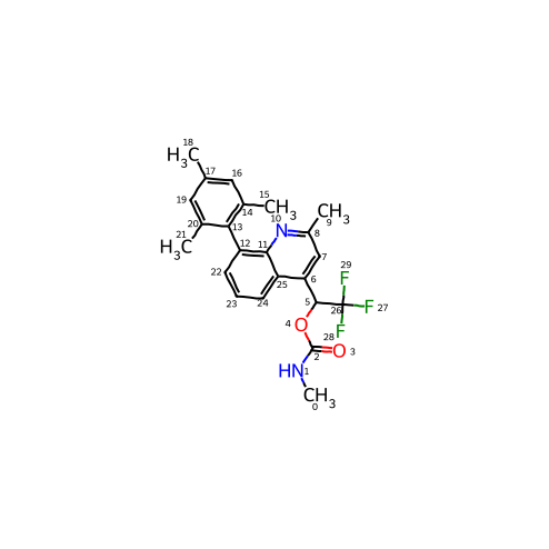 CNC(=O)OC(c1cc(C)nc2c(-c3c(C)cc(C)cc3C)cccc12)C(F)(F)F